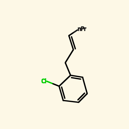 CCCC=CCc1ccccc1Cl